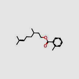 CC(C)=CCCC(C)CCOC(=O)c1ccccc1C